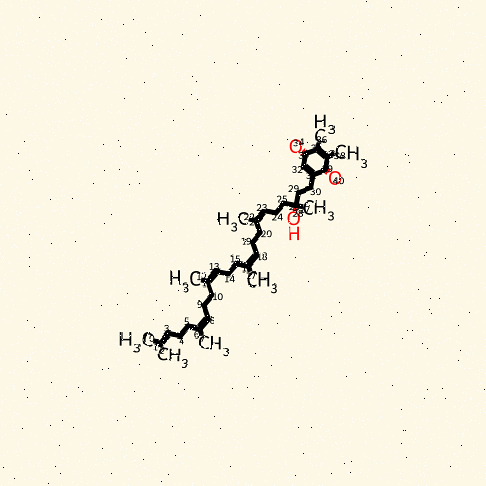 CC(C)=CCCC(C)=CCCC(C)=CCCC(C)=CCCC(C)=CCCC(C)(O)CCC1=CC(=O)C(C)=C(C)C1=O